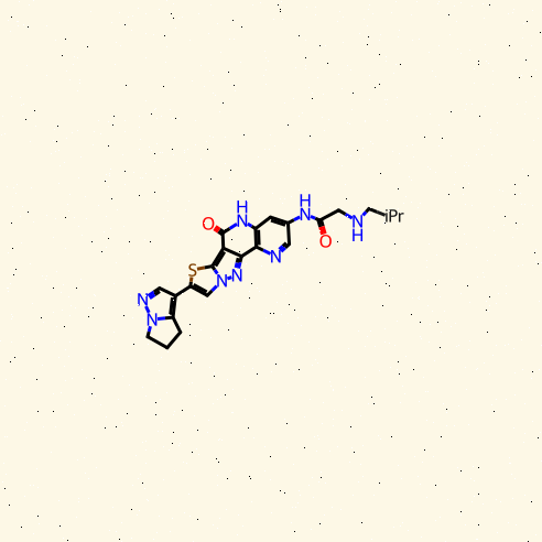 CC(C)CNCC(=O)Nc1cnc2c(c1)[nH]c(=O)c1c2nn2cc(-c3cnn4c3CCC4)sc12